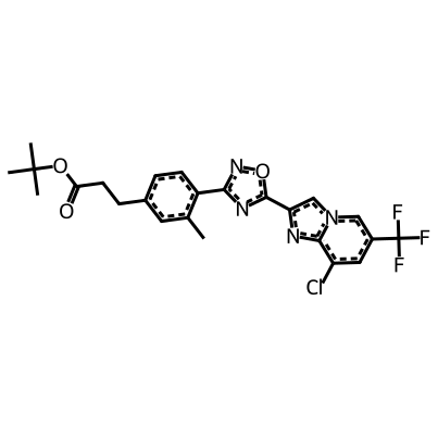 Cc1cc(CCC(=O)OC(C)(C)C)ccc1-c1noc(-c2cn3cc(C(F)(F)F)cc(Cl)c3n2)n1